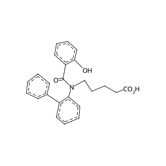 O=C(O)CCCCN(C(=O)c1ccccc1O)c1ccccc1-c1ccccc1